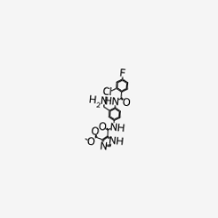 COC(=O)c1nc[nH]c1C(=O)Nc1ccc(NC(=O)c2ccc(F)cc2Cl)c(CN)c1